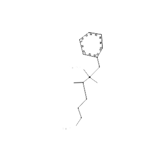 CCCCCCCCCCCCCC(C)C(CCCCCCCCCC)(Cc1ccccc1)C(=O)O